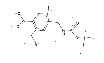 COC(=O)c1cc(F)c(CNC(=O)OC(C)(C)C)cc1CBr